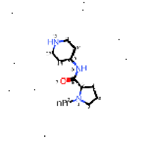 CCCN1CCCC1C(=O)NC1CCNCC1